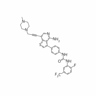 CN1CCN(CC#Cc2cnc(N)c3c(-c4ccc(NC(=O)Nc5cc(C(F)(F)F)ccc5F)cc4)csc23)CC1